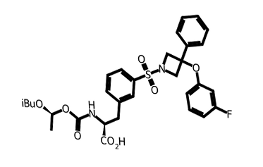 CC(C)CO[C@H](C)OC(=O)N[C@@H](Cc1cccc(S(=O)(=O)N2CC(Oc3cccc(F)c3)(c3ccccc3)C2)c1)C(=O)O